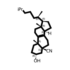 CC(C)CCC[C@@H](C)[C@H]1CC[C@H]2C3=C(CC[C@]12C)[C@@]1(C)CC[C@@H](O)C[C@@]1(C#N)CC3